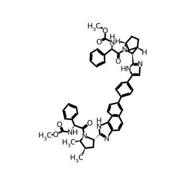 COC(=O)N[C@@H](C(=O)N1[C@@H]2CC[C@@H](C2)[C@H]1c1ncc(-c2ccc(-c3ccc4c(ccc5nc([C@@H]6C[C@@H](C)[C@@H](C)N6C(=O)[C@H](NC(=O)OC)c6ccccc6)[nH]c54)c3)cc2)[nH]1)c1ccccc1